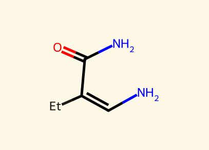 CCC(=CN)C(N)=O